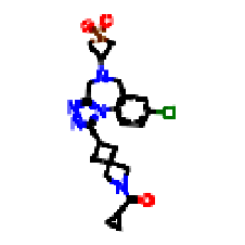 O=C(C1CC1)N1CC2(CC(c3nnc4n3-c3ccc(Cl)cc3CN(C3CS(=O)(=O)C3)C4)C2)C1